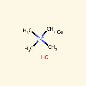 C[N+](C)(C)C.[Ce].[OH-]